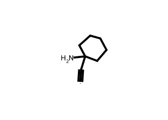 [C]#CC1(N)CCCCC1